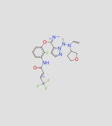 C=CN(C1CCOC1)N(C)n1nccc1/C(=N\C)Oc1cccc(NC(=O)/C=C/C(F)(F)F)c1F